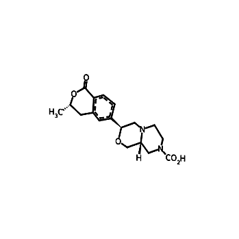 C[C@H]1Cc2cc([C@H]3CN4CCN(C(=O)O)C[C@@H]4CO3)ccc2C(=O)O1